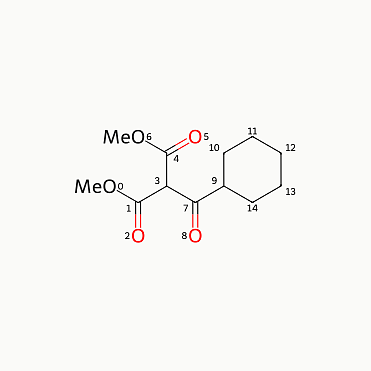 COC(=O)C(C(=O)OC)C(=O)C1CCCCC1